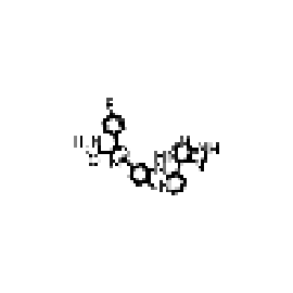 Cc1ccc(-c2nc(C(N)=O)c(-c3ccc(F)cc3)s2)cc1Nc1ncccc1-c1ncnc2[nH]cnc12